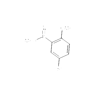 COc1ccc(Br)cc1[PH](=O)OC